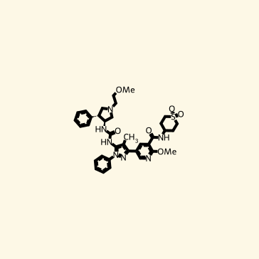 COCCN1C[C@@H](NC(=O)Nc2c(C)c(-c3cnc(OC)c(C(=O)NC4CCS(=O)(=O)CC4)c3)nn2-c2ccccc2)[C@H](c2ccccc2)C1